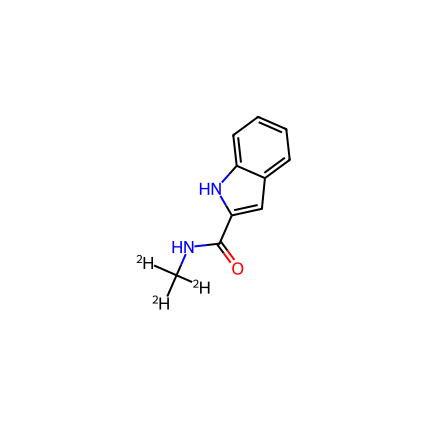 [2H]C([2H])([2H])NC(=O)c1cc2ccccc2[nH]1